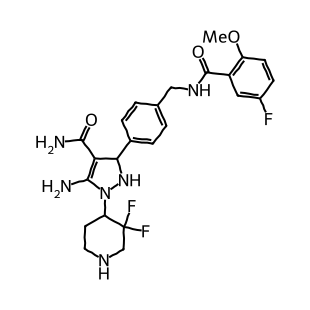 COc1ccc(F)cc1C(=O)NCc1ccc(C2NN(C3CCNCC3(F)F)C(N)=C2C(N)=O)cc1